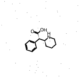 O=C(O)[C@@H](c1ccccc1)[C@@H]1CCCCN1